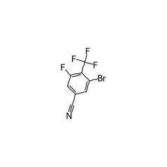 N#Cc1cc(F)c(C(F)(F)F)c(Br)c1